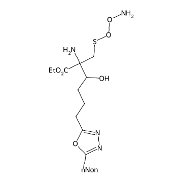 CCCCCCCCCc1nnc(CCCC(O)C(N)(CSOON)C(=O)OCC)o1